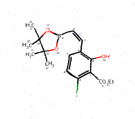 CCOC(=O)c1c(F)ccc(/C=C\B2OC(C)(C)C(C)(C)O2)c1O